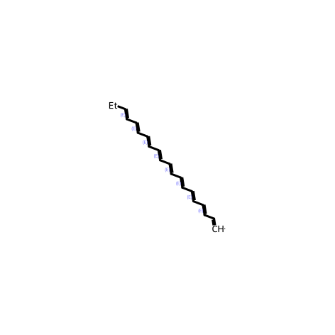 [CH]=C/C=C/C=C/C=C/C=C/C=C/C=C/C=C/C=C/CC